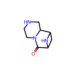 O=C1C2CC(N2)C2CNCCN12